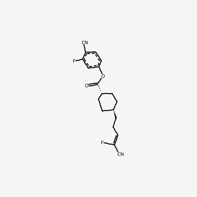 N#CC(F)=CCC[C@H]1CC[C@H](C(=O)Oc2ccc(C#N)c(F)c2)CC1